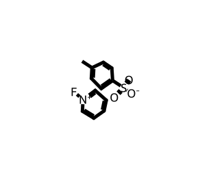 Cc1ccc(S(=O)(=O)[O-])cc1.F[n+]1ccccc1